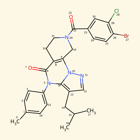 Cc1ccc(-n2c(=O)c3c(n4ncc(CC(C)C)c24)CN(C(=O)c2ccc(Br)c(Cl)c2)CC3)cc1